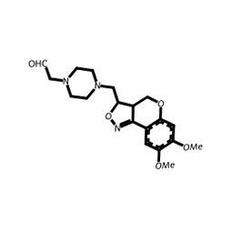 COc1cc2c(cc1OC)C1=NOC(CN3CCN(CC=O)CC3)C1CO2